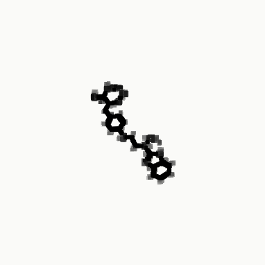 CCOC(Cc1ccc(OCCN(C)c2nc3ccccc3o2)cc1)C(=O)OC